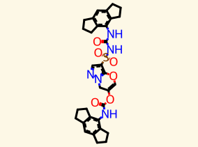 O=C(Nc1c2c(cc3c1CCC3)CCC2)NS(=O)(=O)c1cnn2c1OC=C(OC(=O)Nc1c3c(cc4c1CCC4)CCC3)C2